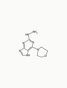 NNc1nc(N2CCOCC2)c2[nH]cnc2n1